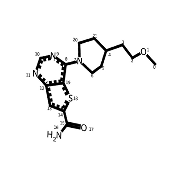 COCCC1CCN(c2ncnc3cc(C(N)=O)sc23)CC1